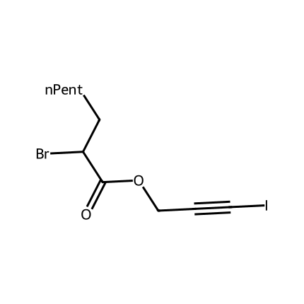 CCCCCCC(Br)C(=O)OCC#CI